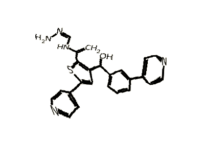 C=C(N/C=N\N)c1sc(-c2ccncc2)cc1C(O)c1cccc(-c2ccncc2)c1